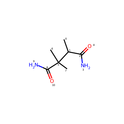 C[C](C(N)=O)C(C)(C)C(N)=O